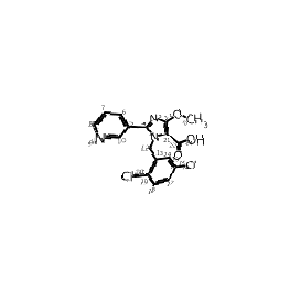 COc1nc(-c2cccnc2)n(Cc2cc(Cl)ccc2Cl)c1C(=O)O